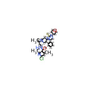 Cc1cc(Cl)nc(C)c1C(=O)NCCC(C)N1CCC(N2C(=S)N(C3CCOCC3)C[C@H]2c2ccccc2)CC1